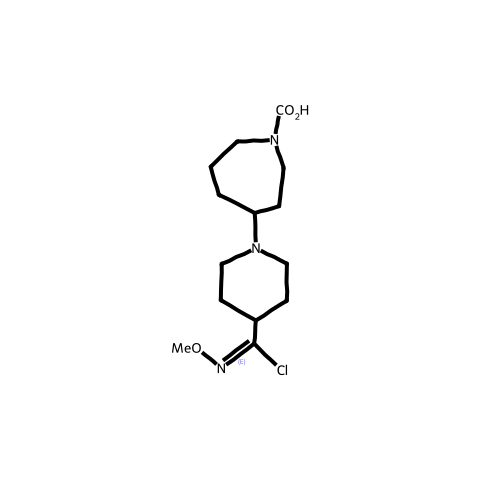 CO/N=C(/Cl)C1CCN(C2CCCN(C(=O)O)CC2)CC1